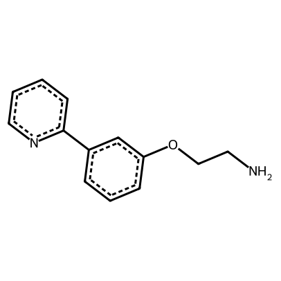 NCCOc1cccc(-c2ccccn2)c1